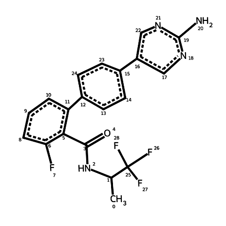 CC(NC(=O)c1c(F)cccc1-c1ccc(-c2cnc(N)nc2)cc1)C(F)(F)F